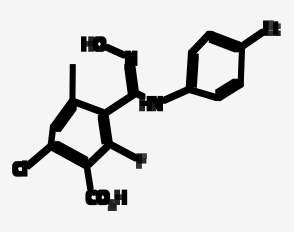 CCc1ccc(NC(=NO)c2c(C)cc(Cl)c(C(=O)O)c2F)cc1